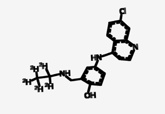 [2H]C([2H])([2H])C([2H])([2H])NCc1cc(Nc2ccnc3cc(Cl)ccc23)ccc1O